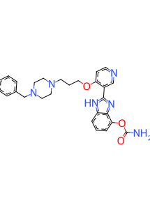 NC(=O)Oc1cccc2[nH]c(-c3cnccc3OCCCN3CCN(Cc4ccccc4)CC3)nc12